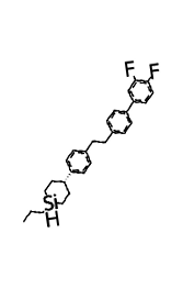 CCC[Si@H]1CC[C@H](c2ccc(CCc3ccc(-c4ccc(F)c(F)c4)cc3)cc2)CC1